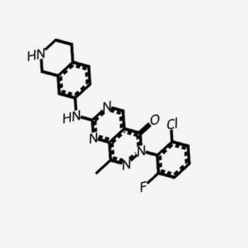 Cc1nn(-c2c(F)cccc2Cl)c(=O)c2cnc(Nc3ccc4c(c3)CNCC4)nc12